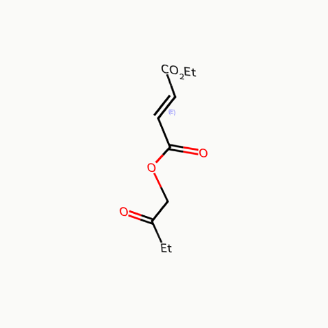 CCOC(=O)/C=C/C(=O)OCC(=O)CC